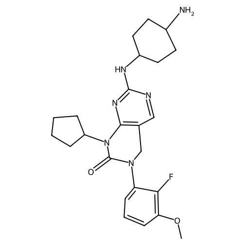 COc1cccc(N2Cc3cnc(NC4CCC(N)CC4)nc3N(C3CCCC3)C2=O)c1F